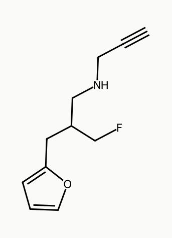 C#CCNCC(CF)Cc1ccco1